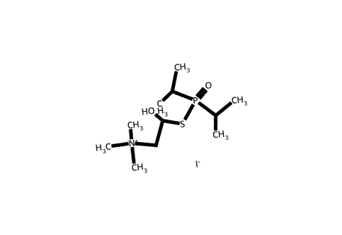 CC(C)P(=O)(SC(O)C[N+](C)(C)C)C(C)C.[I-]